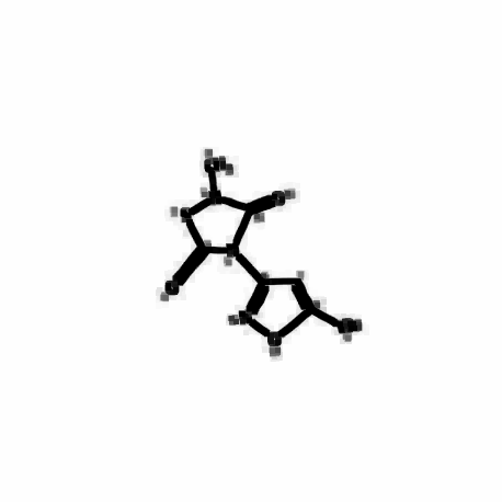 Cn1sc(=O)n(-c2cc(C(C)(C)C)on2)c1=O